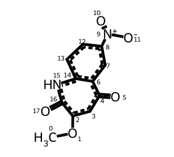 COc1cc(=O)c2cc([N+](=O)[O-])ccc2[nH]c1=O